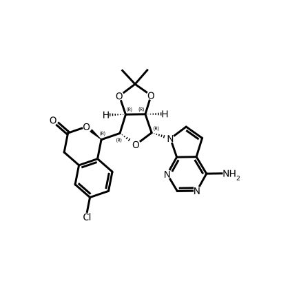 CC1(C)O[C@H]2[C@@H](O1)[C@H](n1ccc3c(N)ncnc31)O[C@@H]2[C@@H]1OC(=O)Cc2cc(Cl)ccc21